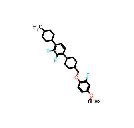 CCCCCCOc1ccc(OCC2CCC(c3ccc(C4CCC(C)CC4)c(F)c3F)CC2)c(F)c1